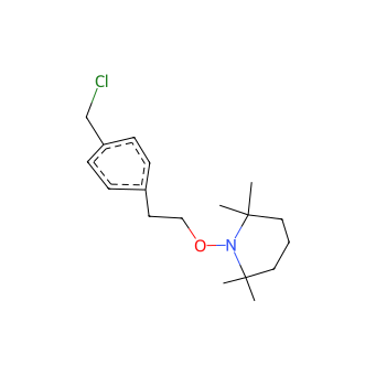 CC1(C)CCCC(C)(C)N1OCCc1ccc(CCl)cc1